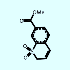 COC(=O)c1ccc2c(c1)S(=O)(=O)CC=C2